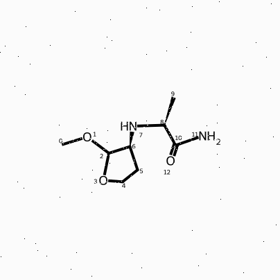 COC1OCC[C@@H]1N[C@@H](C)C(N)=O